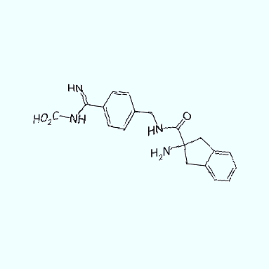 N=C(NC(=O)O)c1ccc(CNC(=O)C2(N)Cc3ccccc3C2)cc1